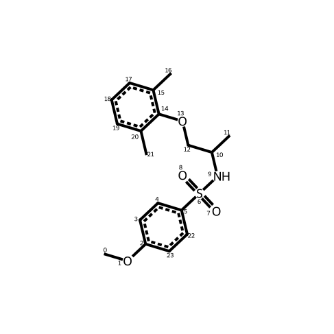 COc1ccc(S(=O)(=O)NC(C)COc2c(C)cccc2C)cc1